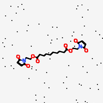 O=C(CCCCCCCCC(=O)OCCN1C(=O)C=CC1=O)OCCN1C(=O)C=CC1=O